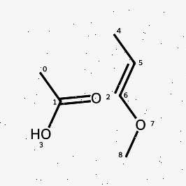 CC(=O)O.CC=COC